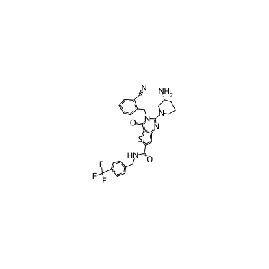 N#Cc1ccccc1Cn1c(N2CCC[C@@H](N)C2)nc2cc(C(=O)NCc3ccc(C(F)(F)F)cc3)sc2c1=O